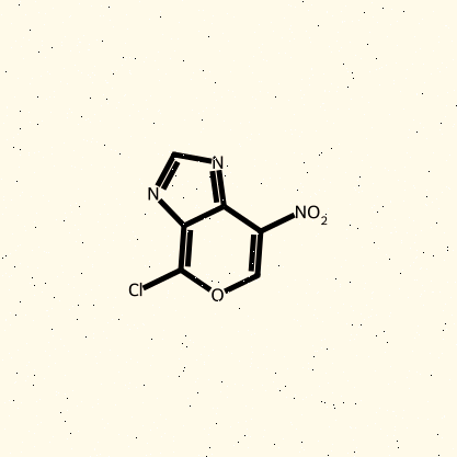 O=[N+]([O-])c1coc(Cl)c2ncnc1-2